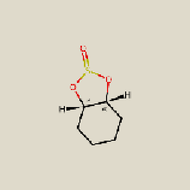 O=S1O[C@H]2CCCC[C@H]2O1